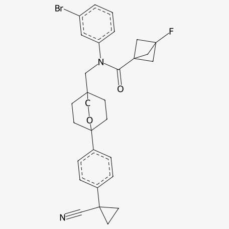 N#CC1(c2ccc(C34CCC(CN(C(=O)C56CC(F)(C5)C6)c5cccc(Br)c5)(CC3)CO4)cc2)CC1